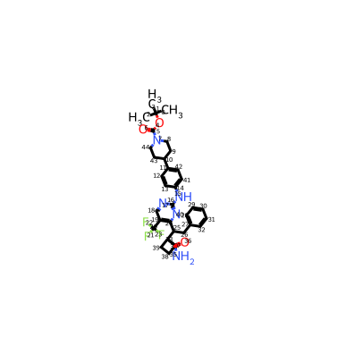 CC(C)(C)OC(=O)N1CCC(c2ccc(Nc3ncc(C(F)(F)F)c(C(Cc4ccccc4)C4(C(N)=O)CCC4)n3)cc2)CC1